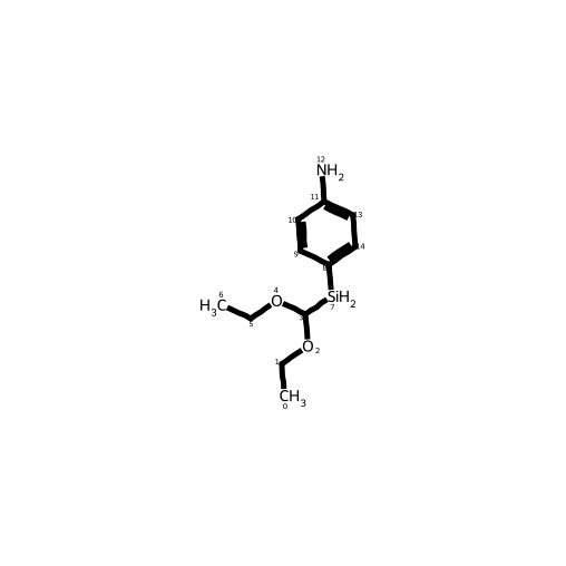 CCOC(OCC)[SiH2]c1ccc(N)cc1